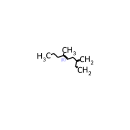 C=CC(=C)C/C=C(\C)CCC